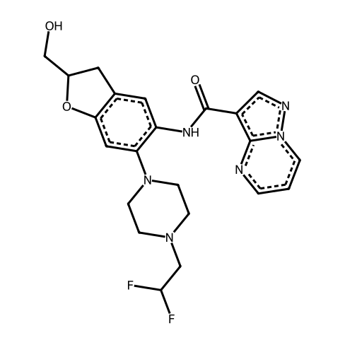 O=C(Nc1cc2c(cc1N1CCN(CC(F)F)CC1)OC(CO)C2)c1cnn2cccnc12